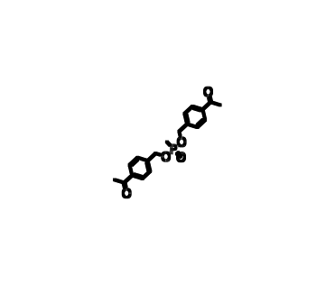 CC(=O)c1ccc(COP(C)(=O)OCc2ccc(C(C)=O)cc2)cc1